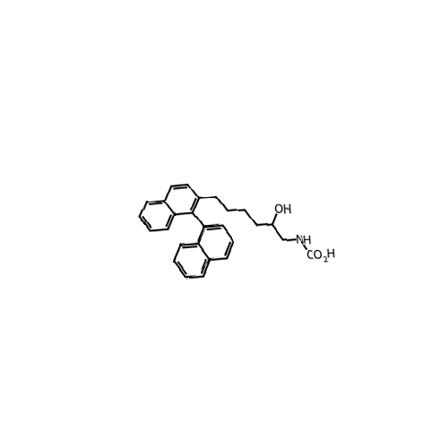 O=C(O)NCC(O)CCCCc1ccc2ccccc2c1-c1cccc2ccccc12